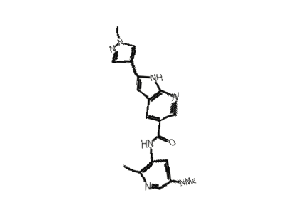 CNc1cnc(C)c(NC(=O)c2cnc3[nH]c(-c4cnn(C)c4)cc3c2)c1